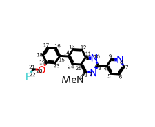 CNc1nc(-c2cccnc2)nc2ccc(-c3cccc(OCF)c3)cc12